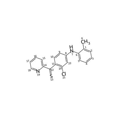 Cc1ccccc1Nc1ccc(C(=S)c2ccccn2)c(Cl)c1